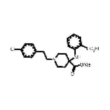 CCOC(=O)c1ccccc1NC1(C(=O)OC)CCN(CCc2ccc(Cl)cc2)CC1